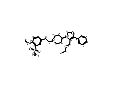 CCOCC1=C(c2ccccc2)OCN1C1CCN(CCc2ccc(OC)c(S(N)(=O)=O)c2)CC1